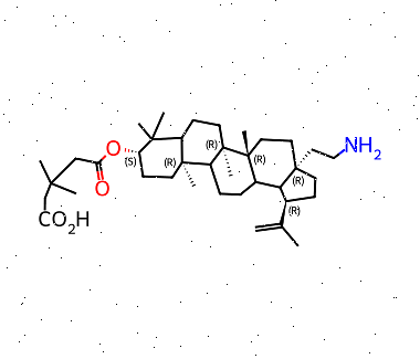 C=C(C)[C@@H]1CC[C@]2(CCN)CC[C@]3(C)C(CCC4[C@@]5(C)CC[C@H](OC(=O)CC(C)(C)CC(=O)O)C(C)(C)C5CC[C@]43C)C12